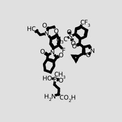 C#CCN1C(=O)COc2cc(F)c(N3C(=O)C4=C(CCCC4)C3=O)cc21.CP(=O)(O)CCC(N)C(=O)O.CS(=O)(=O)c1cc(C(F)(F)F)ccc1C(=O)c1cnoc1C1CC1